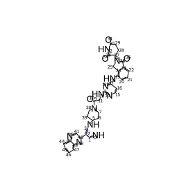 N=C/C(=C\NC1CCN(C(=O)CNc2nccc(Nc3cccc4c3CN(C3CCC(=O)NC3=O)C4=O)n2)CC1)c1cnc2ccccc2n1